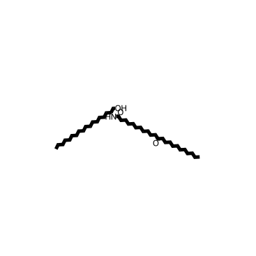 CCCCCCCCCCCCCCCCC(CO)NC(=O)CCCCCCCCCCC(=O)CCCCCCCCCCC